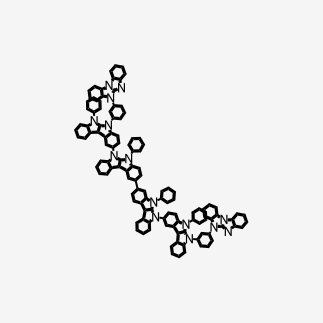 c1ccc(-n2c3ccccc3c3c4cc(-n5c6ccccc6c6c7cc(-c8ccc9c%10c%11ccccc%11n(-c%11ccc%12c(c%11)c%11c%13ccccc%13n(-c%13cccc(-n%14c%15ccccc%15n%15c%16ccccc%16nc%14%15)c%13)c%11n%12-c%11ccccc%11)c%10n(-c%10ccccc%10)c9c8)ccc7n(-c7ccccc7)c65)ccc4n(-c4cccc(-n5c6ccccc6n6c7ccccc7nc56)c4)c32)cc1